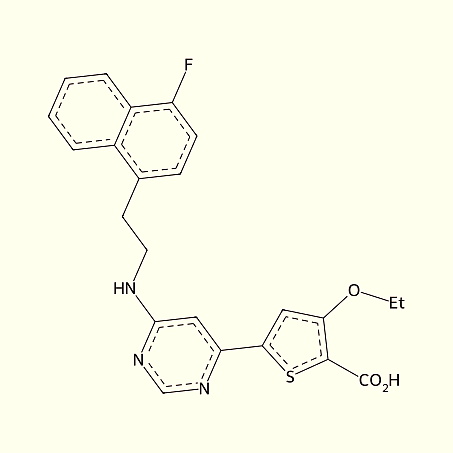 CCOc1cc(-c2cc(NCCc3ccc(F)c4ccccc34)ncn2)sc1C(=O)O